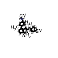 Cc1cc(/C=C/C#N)cc(C)c1-c1cccc2c(N)nc(Nc3ccc(C#N)nn3)cc12